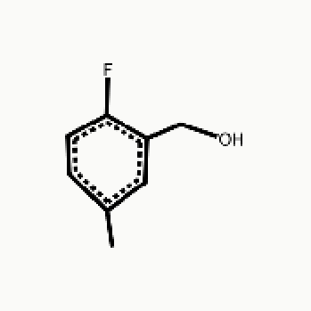 Cc1ccc(F)c([CH]O)c1